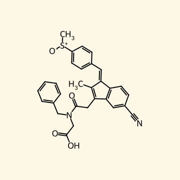 CC1=C(CC(=O)N(CC(=O)O)Cc2ccccc2)c2cc(C#N)ccc2C1=Cc1ccc([S+](C)[O-])cc1